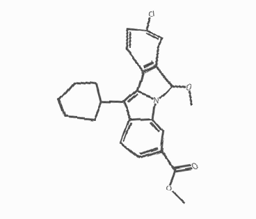 COC(=O)c1ccc2c(C3CCCCC3)c3n(c2c1)C(OC)c1cc(Cl)ccc1-3